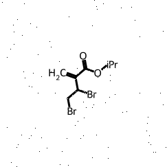 C=C(C(=O)OC(C)C)C(Br)CBr